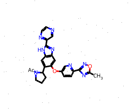 CC(=O)N1CCCC1c1cc2[nH]c(-c3cnccn3)nc2cc1Oc1ccc(-c2noc(C)n2)nc1